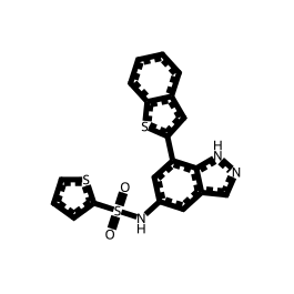 O=S(=O)(Nc1cc(-c2cc3ccccc3s2)c2[nH]ncc2c1)c1cccs1